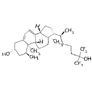 C[C@@H](CCCC(O)(C(F)(F)F)C(F)(F)F)[C@H]1CC[C@H]2C3=CC=C4C[C@@H](O)C[C@H](O)[C@]4(C)[C@H]3CC[C@]12C